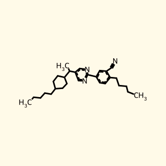 CCCCCc1ccc(-c2ncc(C(C)C3CCC(CCCCC)CC3)cn2)cc1C#N